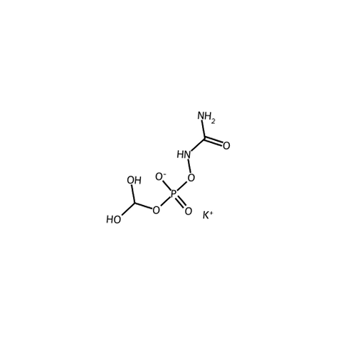 NC(=O)NOP(=O)([O-])OC(O)O.[K+]